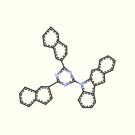 c1ccc2cc(-c3nc(-c4ccc5ccccc5c4)nc(-n4c5ccccc5c5cc6ccccc6cc54)n3)ccc2c1